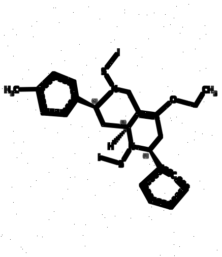 CCOC1=C2CN(SI)[C@H](c3ccc(C)cc3)C[C@@H]2N(SI)[C@H](c2ccccc2)C1